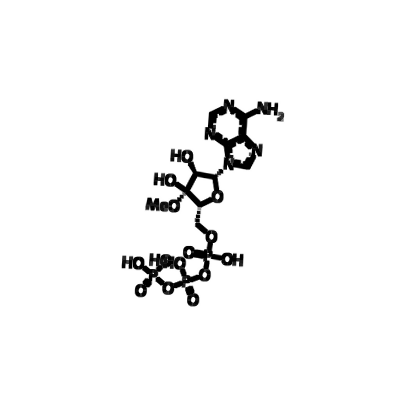 CO[C@@]1(O)[C@@H](COP(=O)(O)OP(=O)(O)OP(=O)(O)O)O[C@@H](n2cnc3c(N)ncnc32)[C@@H]1O